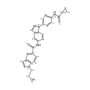 O=C(Nc1ccc2c(cnn2-c2ccc(NC(=O)C3CC3)cc2)c1)c1ccc2c(ccn2CCO)c1